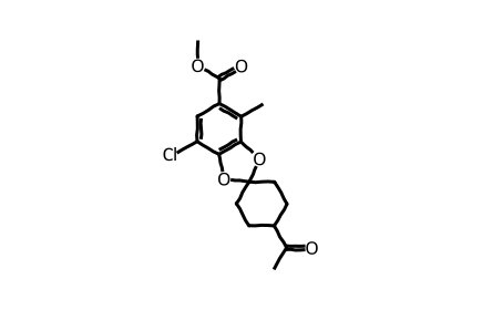 COC(=O)c1cc(Cl)c2c(c1C)OC1(CCC(C(C)=O)CC1)O2